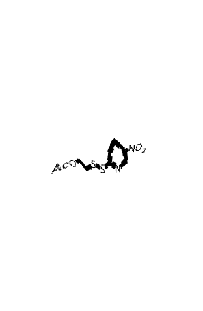 CC(=O)OCCSSc1ccc([N+](=O)[O-])cn1